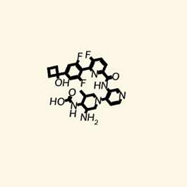 CC1CN(c2ccncc2NC(=O)c2ccc(F)c(-c3c(F)cc(C4(O)CCC4)cc3F)n2)CC(N)C1NC(=O)O